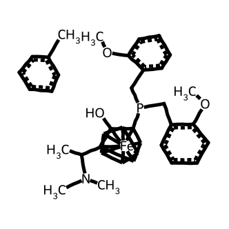 COc1ccccc1CP(Cc1ccccc1OC)[C]12[CH]3[CH]4[C]5(C(C)N(C)C)[C]1(O)[Fe]43521678[CH]2[CH]1[CH]6[CH]7[CH]28.Cc1ccccc1